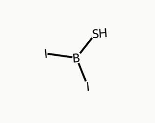 SB(I)I